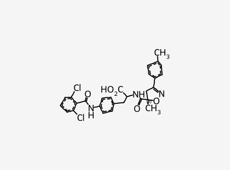 Cc1ccc(C2=NO[C@](C)(C(=O)NC(Cc3ccc(NC(=O)c4c(Cl)cccc4Cl)cc3)C(=O)O)C2)cc1